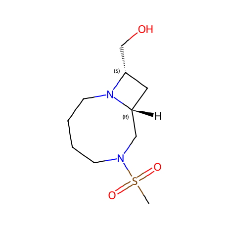 CS(=O)(=O)N1CCCCN2[C@H](CO)C[C@@H]2C1